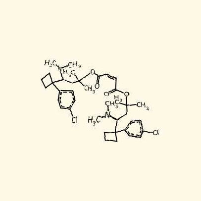 CN(C)C(CC(C)(C)OC(=O)/C=C\C(=O)OC(C)(C)CC(N(C)C)C1(c2ccc(Cl)cc2)CCC1)C1(c2ccc(Cl)cc2)CCC1